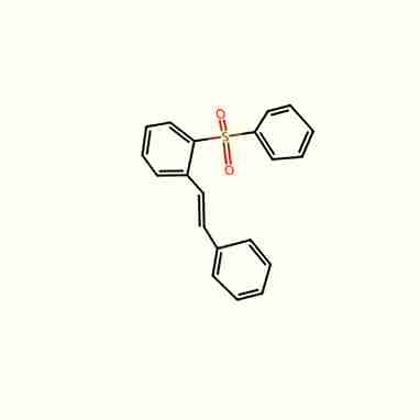 O=S(=O)(c1ccccc1)c1ccccc1/C=C/c1ccccc1